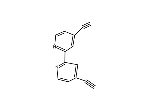 C#Cc1ccnc(-c2cc(C#C)ccn2)c1